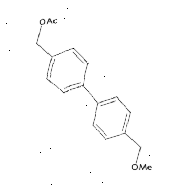 COCc1ccc(-c2ccc(COC(C)=O)cc2)cc1